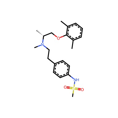 Cc1cccc(C)c1OC[C@@H](C)N(C)CCc1ccc(NS(C)(=O)=O)cc1